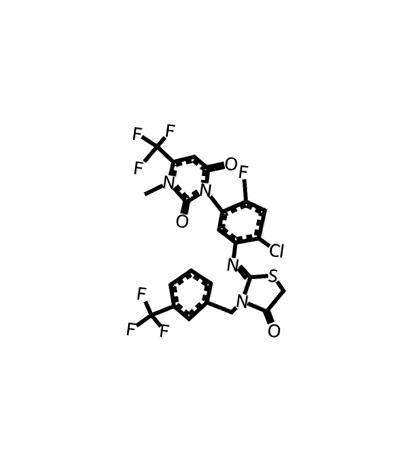 Cn1c(C(F)(F)F)cc(=O)n(-c2cc(/N=C3\SCC(=O)N3Cc3cccc(C(F)(F)F)c3)c(Cl)cc2F)c1=O